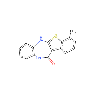 Cc1cccc2c3c(sc12)Nc1ccccc1NC3=O